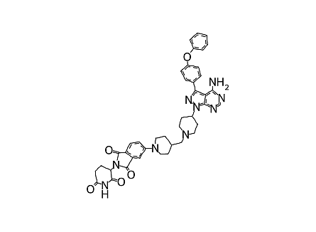 Nc1ncnc2c1c(-c1ccc(Oc3ccccc3)cc1)nn2C1CCN(CC2CCN(c3ccc4c(c3)C(=O)N(C3CCC(=O)NC3=O)C4=O)CC2)CC1